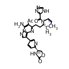 C/C=C\N(C(=O)c1nnc[nH]1)[C@H](C)CCc1nc2c(-c3ccc([C@H]4COC(=O)N4)nc3)cnn2c(N)c1C(C)=O